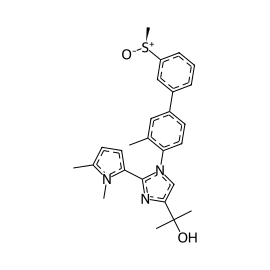 Cc1cc(-c2cccc([S@+](C)[O-])c2)ccc1-n1cc(C(C)(C)O)nc1-c1ccc(C)n1C